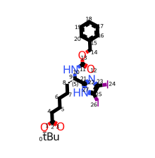 CC(C)(C)OC(=O)CCCCC[C@H](NC(=O)OCc1ccccc1)c1nc(I)c(I)[nH]1